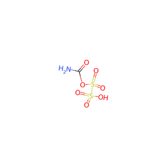 NC(=O)OS(=O)(=O)S(=O)(=O)O